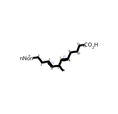 CCCCCCCCCCC/C=C/C(C)/C=C/CCCC(=O)O